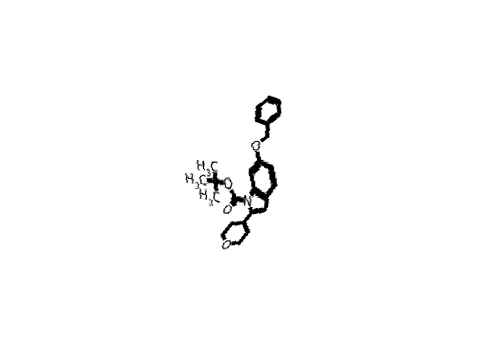 CC(C)(C)OC(=O)n1c(C2CCOCC2)cc2ccc(OCc3ccccc3)cc21